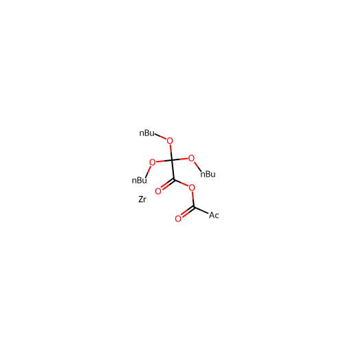 CCCCOC(OCCCC)(OCCCC)C(=O)OC(=O)C(C)=O.[Zr]